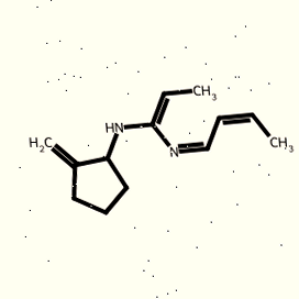 C=C1CCCC1NC(=CC)/N=C\C=C/C